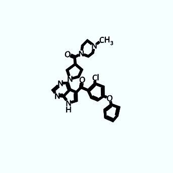 CN1CCN(C(=O)C2CCN(c3ncnc4[nH]cc(C(=O)c5ccc(Oc6ccccc6)cc5Cl)c34)C2)CC1